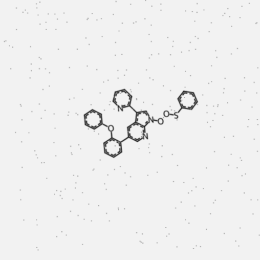 c1ccc(Oc2ccccc2-c2cnc3c(c2)c(-c2ccccn2)cn3OOSc2ccccc2)cc1